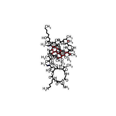 C/C=C(\NC(=O)[C@H](NC(=O)[C@H](CC(C)C)NC(=O)[C@@H](CCC(N)=O)NC(=O)[C@@H](NC(=O)[C@H](NC(=O)[C@@H](CC(C)C)NC(=O)[C@@H](CO)NC(=O)[C@H](NC(=O)[C@H](CC(C)C)NC(=O)[C@H](CO)NC(=O)[C@H]1CCCN1C(=O)/C(=C/C)NC(=O)CC(O)CCCCC)C(C)C)C(C)C)C(C)C)C(C)C)C(=O)N[C@H]1C(=O)N[C@@H]([C@@H](C)CC)C(=O)NCC(=O)N[C@H](CCN)C(=O)N[C@@H](CCCCN)C(=O)O[C@@H]1C